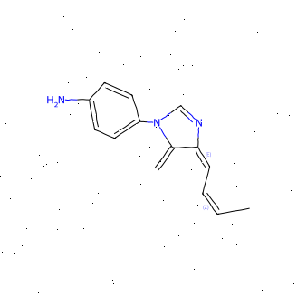 C=c1/c(=C\C=C/C)ncn1-c1ccc(N)cc1